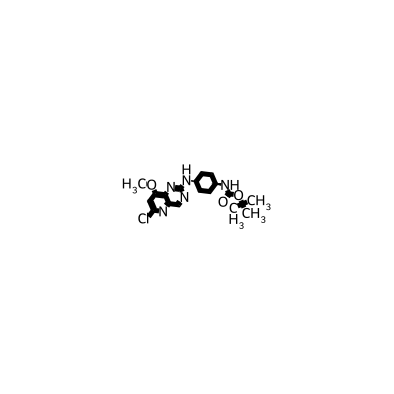 COc1cc(Cl)nc2cnc(N[C@H]3CC[C@H](NC(=O)OC(C)(C)C)CC3)nc12